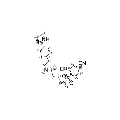 CN(CCc1ccc(C2=NCCN2)cc1)C(=O)CCCN(C)S(=O)(=O)c1ccc(C#N)cc1Cl